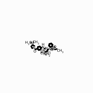 CCCS(=O)(=O)c1ccccc1Nc1nc(Nc2ccc(C(=O)N3CCC(N(C)C)C3)cc2OC)nc(N)c1Cl